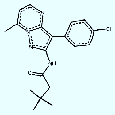 Cc1ccnc2c(-c3ccc(Cl)cc3)c(NC(=O)CC(C)(C)C)nn12